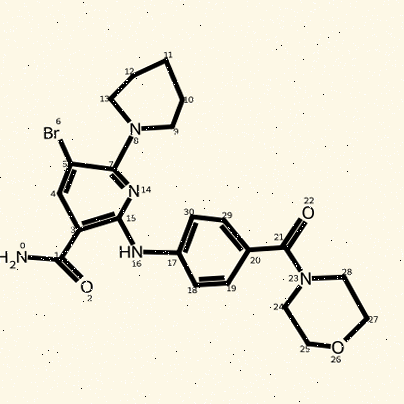 NC(=O)c1cc(Br)c(N2CCCCC2)nc1Nc1ccc(C(=O)N2CCOCC2)cc1